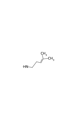 CC(C)=CCC[NH]